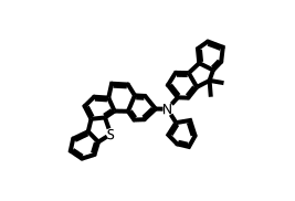 CC1(C)c2ccccc2-c2ccc(N(c3ccccc3)c3ccc4c(ccc5ccc6c7ccccc7sc6c54)c3)cc21